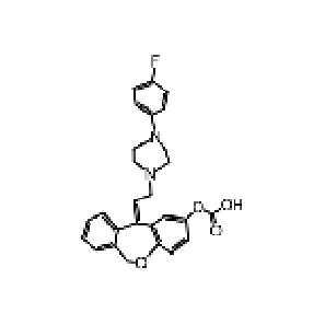 O=C(O)Oc1ccc2c(c1)C(=CCN1CCN(c3ccc(F)cc3)CC1)c1ccccc1CO2